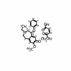 CCN1CCc2cc(OC)c(OC)cc2C(Oc2ccccc2)C1.O=C(O)/C=C\C(=O)O